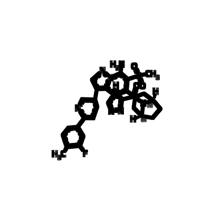 Cc1ccc(-c2ccc(-c3cnn4c(N)c(S(C)(=O)=O)c(C5C[C@H]6CC[C@@H](C5)N6C(=O)c5nnc[nH]5)nc34)cn2)cc1F